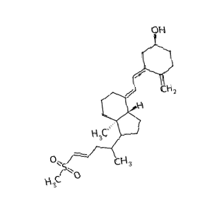 C=C1CC[C@H](O)C/C1=C/C=C1\CCC[C@]2(C)C(C(C)C/C=C/S(C)(=O)=O)CC[C@@H]12